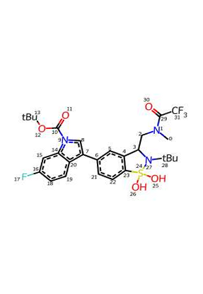 CN(CC1c2cc(-c3cn(C(=O)OC(C)(C)C)c4cc(F)ccc34)ccc2S(O)(O)N1C(C)(C)C)C(=O)C(F)(F)F